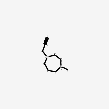 C#CCN1CCCN(C)CC1